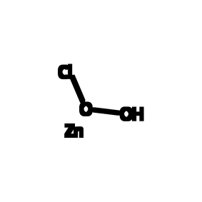 OOCl.[Zn]